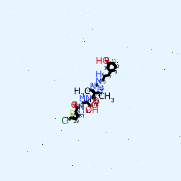 Cc1nc(NCCCc2cccc(O)c2)nc(C)c1C(=O)NC(CNC(=O)c1ccc(Cl)s1)C(=O)O